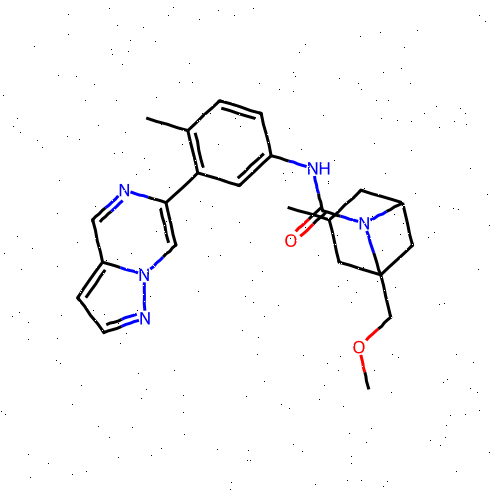 COCC12CC(C)CC(C1)N2C(=O)Nc1ccc(C)c(-c2cn3nccc3cn2)c1